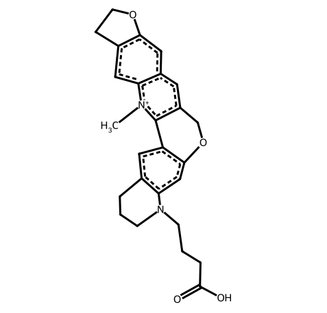 C[n+]1c2c(cc3cc4c(cc31)CCO4)COc1cc3c(cc1-2)CCCN3CCCC(=O)O